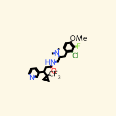 COc1ccc(CC(CNC(=O)CC(c2cccnc2)C2(C(F)(F)F)CC2)N(C)C)c(Cl)c1F